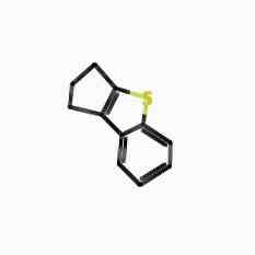 c1ccc2c3c(sc2c1)CCC3